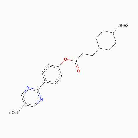 CCCCCCCCc1cnc(-c2ccc(OC(=O)CCC3CCC(CCCCCC)CC3)cc2)nc1